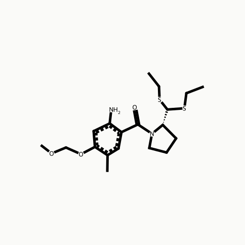 CCSC(SCC)[C@@H]1CCCN1C(=O)c1cc(C)c(OCOC)cc1N